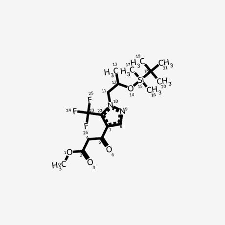 COC(=O)CC(=O)c1cnn(CC(C)O[Si](C)(C)C(C)(C)C)c1C(F)(F)F